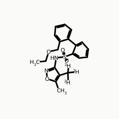 [2H]C([2H])([2H])c1c(NS(=O)(=O)c2ccccc2-c2ccccc2COCC)noc1C